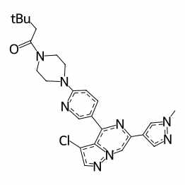 Cn1cc(-c2cn3ncc(Cl)c3c(-c3ccc(N4CCN(C(=O)CC(C)(C)C)CC4)nc3)n2)cn1